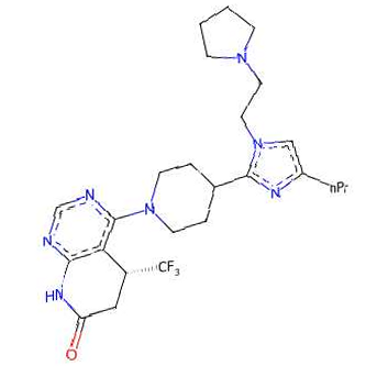 CCCc1cn(CCN2CCCC2)c(C2CCN(c3ncnc4c3[C@H](C(F)(F)F)CC(=O)N4)CC2)n1